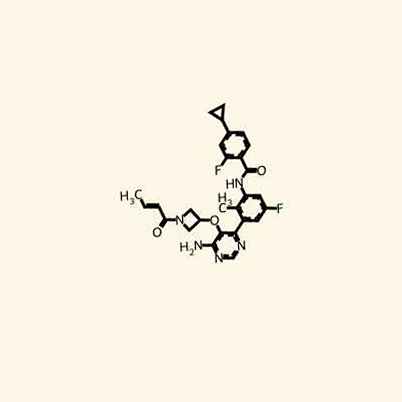 CC=CC(=O)N1CC(Oc2c(N)ncnc2-c2cc(F)cc(NC(=O)c3ccc(C4CC4)cc3F)c2C)C1